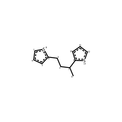 CC(CCc1cccs1)c1cccs1